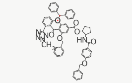 Cn1nnc(-c2cccc(OCc3ccccc3)c2C(=O)c2c(OCc3ccccc3)cc(C(=O)O[C@@H]3CCC[C@H]3NC(=O)c3ccc(OCc4ccccc4)cc3)cc2OCc2ccccc2)n1